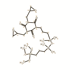 CO[Si](CCC[Si](C)(C)O[Si](C)(C)CCCn1c(=O)n(CC2CO2)c(=O)n(CC2CO2)c1=O)(OC)OC